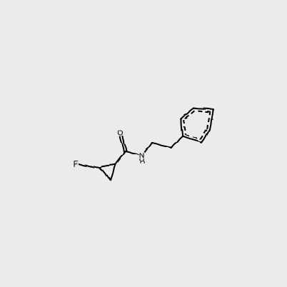 O=C(NCCc1ccccc1)C1CC1F